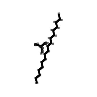 [CH2]CCCCCCCCCCCCCCCCC.[Cl][Cr]([Cl])[Cl]